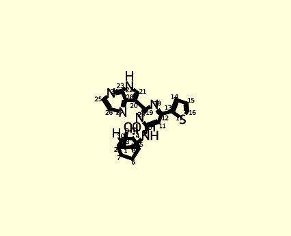 O=C(O)[C@H]1C2CCC(CC2)[C@@H]1Nc1cc(-c2cccs2)nc(-c2c[nH]c3nccnc23)n1